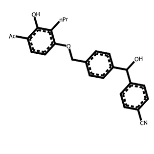 CCCc1c(OCc2ccc(C(O)c3ccc(C#N)cc3)cc2)ccc(C(C)=O)c1O